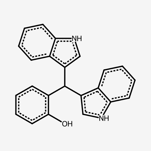 Oc1ccccc1C(c1c[nH]c2ccccc12)c1c[nH]c2ccccc12